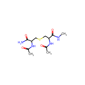 CNC(=O)C(CSCC(NC(C)=O)C(N)=O)NC(C)=O